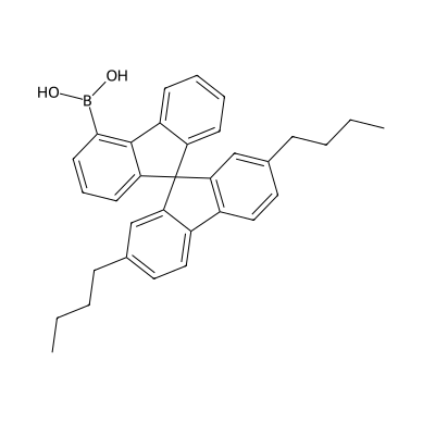 CCCCc1ccc2c(c1)C1(c3cc(CCCC)ccc3-2)c2ccccc2-c2c(B(O)O)cccc21